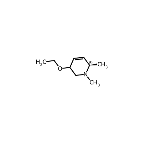 CCOC1C=C[C@@H](C)N(C)C1